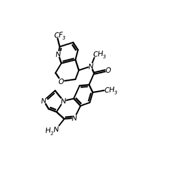 Cc1cc2nc(N)c3cncn3c2cc1C(=O)N(C)C1COCc2nc(C(F)(F)F)ccc21